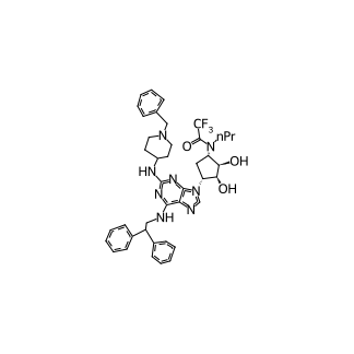 CCCN(C(=O)C(F)(F)F)[C@H]1C[C@@H](n2cnc3c(NCC(c4ccccc4)c4ccccc4)nc(NC4CCN(Cc5ccccc5)CC4)nc32)[C@H](O)[C@@H]1O